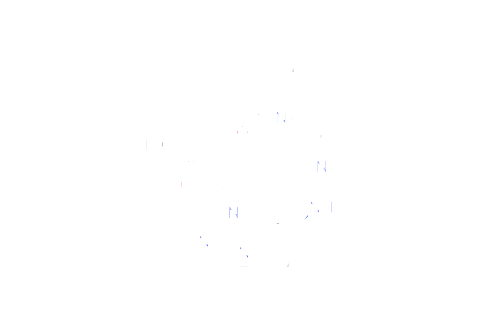 O=c1ccccn1-c1ccc(N[C@H]2CC[C@H](Nc3ncc(OCC(F)(F)F)cn3)C2)nc1